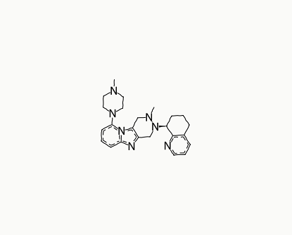 CN1CCN(c2cccc3nc4c(n23)CN(C)N([C@H]2CCCc3cccnc32)C4)CC1